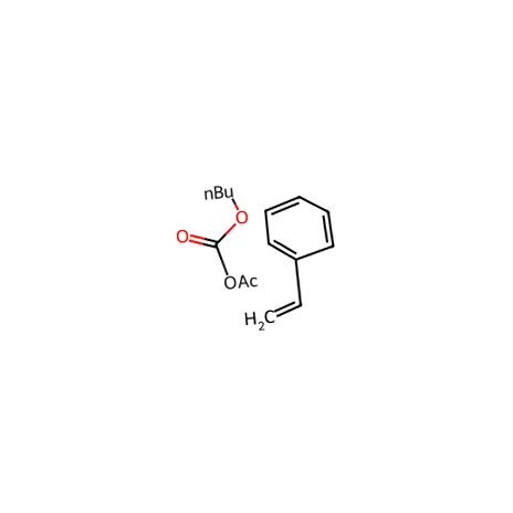 C=Cc1ccccc1.CCCCOC(=O)OC(C)=O